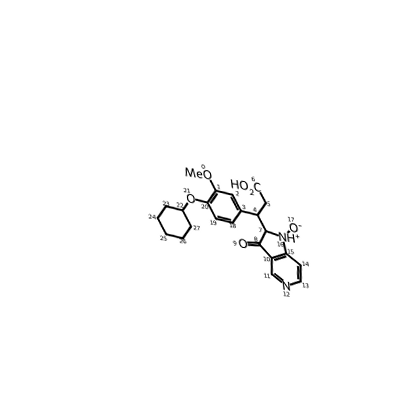 COc1cc(C(CC(=O)O)C2C(=O)c3cnccc3[NH+]2[O-])ccc1OC1CCCCC1